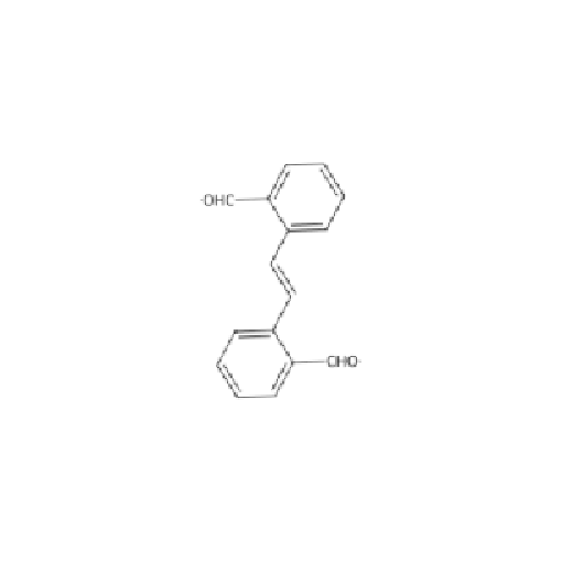 O=[C]c1ccccc1/C=C/c1ccccc1[C]=O